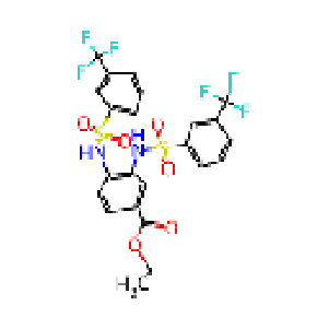 CCOC(=O)c1ccc(NS(=O)(=O)c2cccc(C(F)(F)F)c2)c(NS(=O)(=O)c2cccc(C(F)(F)F)c2)c1